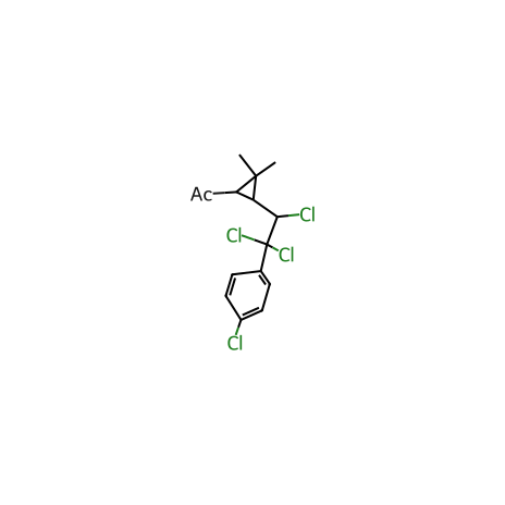 CC(=O)C1C(C(Cl)C(Cl)(Cl)c2ccc(Cl)cc2)C1(C)C